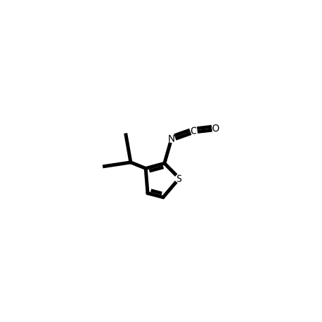 CC(C)c1ccsc1N=C=O